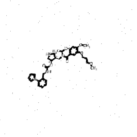 COCCCOc1cc(C(=O)N(C[C@@H]2CNC[C@H]2OC(=O)NCc2ccccc2-n2cccc2)C(C)C)ccc1OC